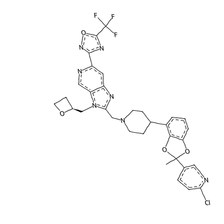 CC1(c2ccc(Cl)nc2)Oc2cccc(C3CCN(Cc4nc5cc(-c6noc(C(F)(F)F)n6)ncc5n4C[C@@H]4CCO4)CC3)c2O1